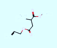 C=CCOC(=O)CC(C(=O)OCCCCC)S(=O)(=O)O.[NaH]